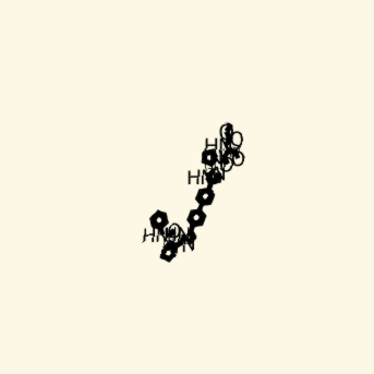 COC(=O)N[C@H](C(=O)N1CCC[C@H]1c1ncc(-c2ccc(-c3ccc(-c4cnc(C5C6CCC(C6)[C@@H]5C(=O)Nc5ccccc5)[nH]4)cc3)cc2)[nH]1)[C@@H](C)OC